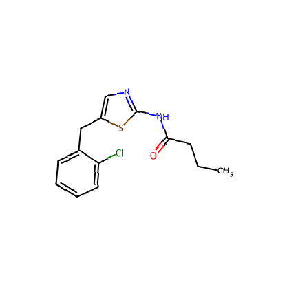 CCCC(=O)Nc1ncc(Cc2ccccc2Cl)s1